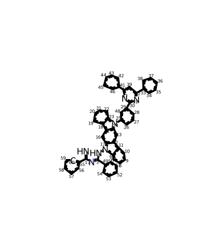 N=C(/N=C(\Nn1c2ccccc2c2cc3c(cc21)c1ccccc1n3-c1cccc(-c2nc(-c3ccccc3)cc(-c3ccccc3)n2)c1)c1ccccc1)c1ccccc1